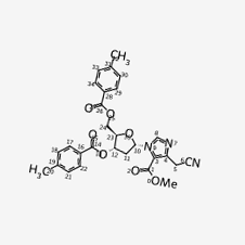 COC(=O)c1c(CC#N)ncn1[C@@H]1C[C@H](OC(=O)c2ccc(C)cc2)[C@@H](COC(=O)c2ccc(C)cc2)O1